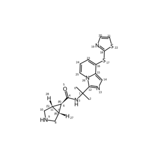 CC(C)(NC(=O)[C@H]1[C@@H]2CNC[C@@H]21)c1ncc2c(Sc3nccs3)cccn12